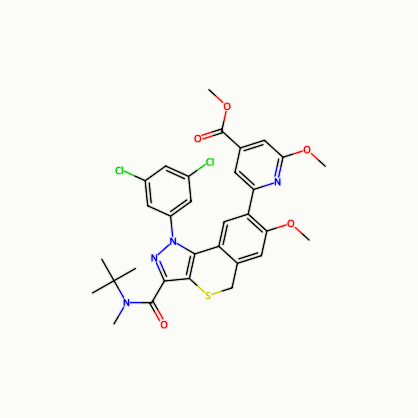 COC(=O)c1cc(OC)nc(-c2cc3c(cc2OC)CSc2c(C(=O)N(C)C(C)(C)C)nn(-c4cc(Cl)cc(Cl)c4)c2-3)c1